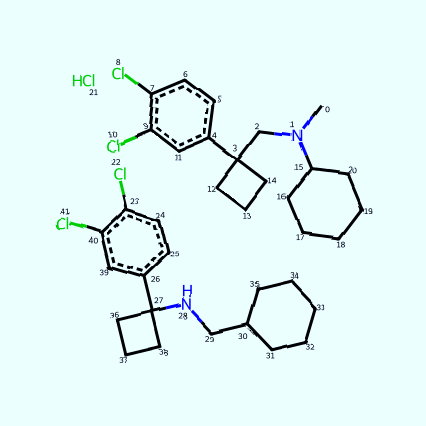 CN(CC1(c2ccc(Cl)c(Cl)c2)CCC1)C1CCCCC1.Cl.Clc1ccc(C2(NCC3CCCCC3)CCC2)cc1Cl